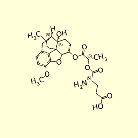 COc1ccc2c3c1OC1C(OC(=O)[C@H](C)OC(=O)[C@@H](N)CCC(=O)O)=CC[C@@]4(O)[C@@H](C2)C(C)CCC314